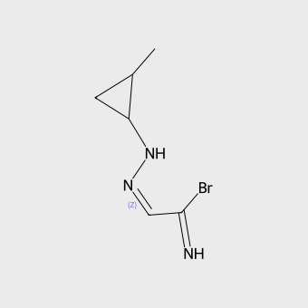 CC1CC1N/N=C\C(=N)Br